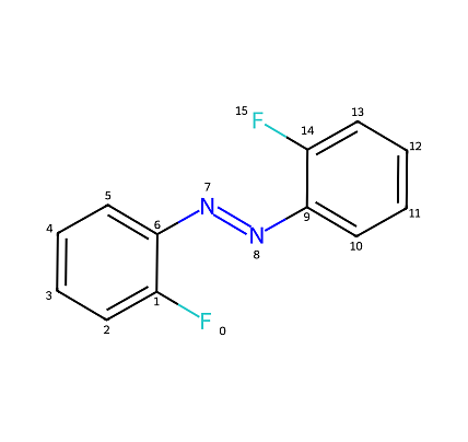 Fc1ccccc1N=Nc1ccccc1F